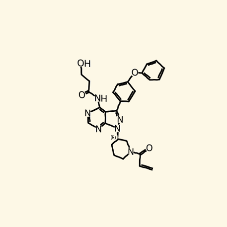 C=CC(=O)N1CCC[C@@H](n2nc(-c3ccc(Oc4ccccc4)cc3)c3c(NC(=O)CCO)ncnc32)C1